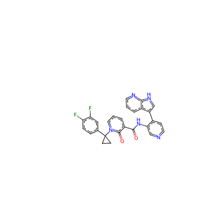 O=C(Nc1cnccc1-c1c[nH]c2ncccc12)c1cccn(C2(c3ccc(F)c(F)c3)CC2)c1=O